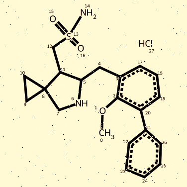 COc1c(CC2NCC3(CC3)C2CS(N)(=O)=O)cccc1-c1ccccc1.Cl